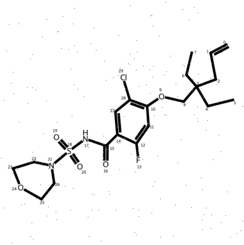 C=CCC(CC)(CC)COc1cc(F)c(C(=O)NS(=O)(=O)N2CCOCC2)cc1Cl